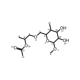 COC1OC(COCC(C)OC(C)=O)C(C)C(O)C1O